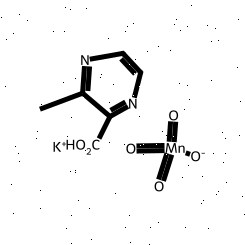 Cc1nccnc1C(=O)O.[K+].[O]=[Mn](=[O])(=[O])[O-]